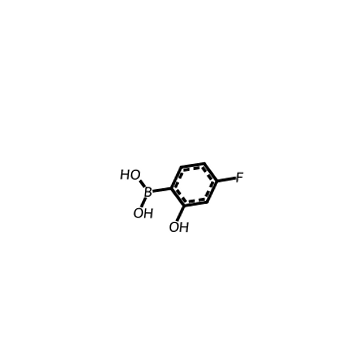 OB(O)c1ccc(F)cc1O